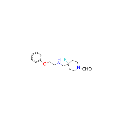 O=CN1CCC(F)(CNCCOc2ccccc2)CC1